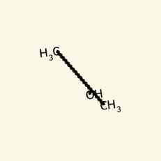 CCCCCCCCCCCCCCCCCCCCCCCCCCCCC(CO)CCCCCCCCCC